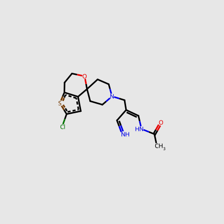 CC(=O)N/C=C(\C=N)CN1CCC2(CC1)OCCc1sc(Cl)cc12